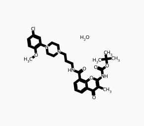 COc1ccc(Cl)cc1N1CCN(CCCNC(=O)c2cccc3c(=O)c(C)c(NC(=O)OC(C)(C)C)oc23)CC1.O